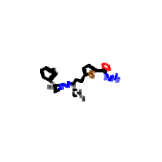 C[C@@H](CCc1ccc(C(N)=O)s1)N1C[C@@H]1c1ccccc1